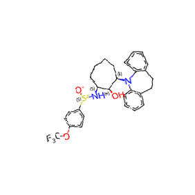 [O-][S@@+](N[C@H]1CCCC[C@@H](N2c3ccccc3CCc3ccccc32)[C@H]1O)c1ccc(OC(F)(F)F)cc1